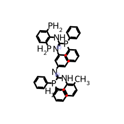 Cc1cccc(P)c1N/C(=N\c1cccc(/N=C(/Nc2c(P)cccc2P)P(c2ccccc2)c2ccccc2)c1)P(c1ccccc1)c1ccccc1